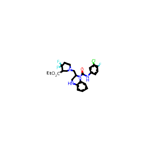 CCOC(=O)C1CN(CC2CNc3ccccc3N2C(=O)Nc2ccc(F)c(Cl)c2)CCC1(F)F